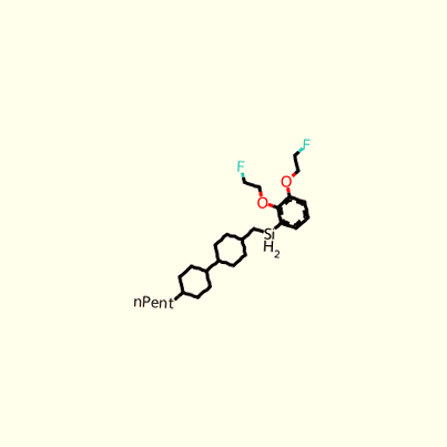 CCCCCC1CCC(C2CCC(C[SiH2]c3cccc(OCCF)c3OCCF)CC2)CC1